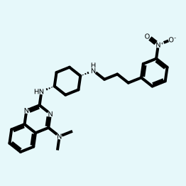 CN(C)c1nc(N[C@H]2CC[C@@H](NCCCc3cccc([N+](=O)[O-])c3)CC2)nc2ccccc12